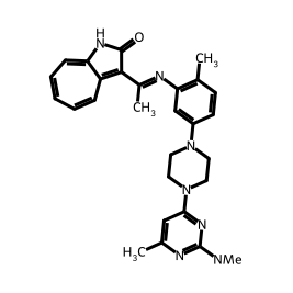 CNc1nc(C)cc(N2CCN(c3ccc(C)c(/N=C(\C)c4c5cccccc-5[nH]c4=O)c3)CC2)n1